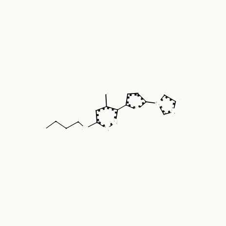 CCCCSc1cc(C)c(-c2ccc(-n3ccnc3)s2)nn1